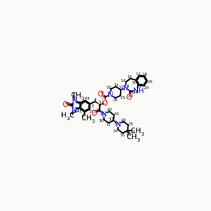 Cc1cc(C[C@@H](OC(=O)N2CCC(N3CCc4ccccc4NC3=O)CC2)C(=O)N2CCC(N3CCC(C)(C)CC3)CC2)cc2c1n(C)c(=O)n2C